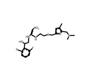 Cc1cc(CSCCNC(=C[N+](=O)[O-])NCC(O)c2c(F)cccc2F)sc1CN(C)C